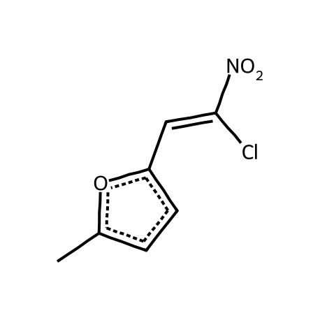 Cc1ccc(/C=C(\Cl)[N+](=O)[O-])o1